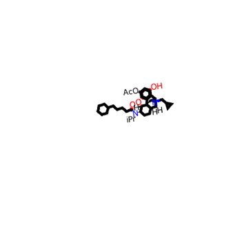 CC(=O)Oc1cc(O)c2c3c1O[C@H]1[C@@H](N(C(=O)CCCCC4CCCCC4)C(C)C)CC[C@H]4[C@@H](C2)N(CC2CC2)CC[C@@]341